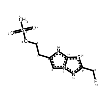 CS(=O)(=O)OCCc1cn2nc(CF)sc2n1